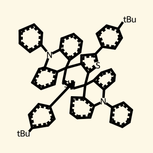 CC(C)(C)c1ccc(-c2cc3c(s2)C2(c4ccccc4N(c4ccccc4)c4ccccc42)c2cc(-c4ccc(C(C)(C)C)cc4)sc2C32c3ccccc3N(c3ccccc3)c3ccccc32)cc1